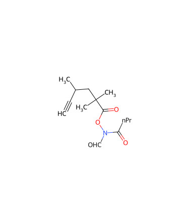 C#CC(C)CC(C)(C)C(=O)ON(C=O)C(=O)CCC